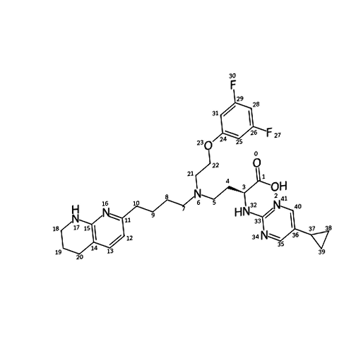 O=C(O)[C@H](CCN(CCCCc1ccc2c(n1)NCCC2)CCOc1cc(F)cc(F)c1)Nc1ncc(C2CC2)cn1